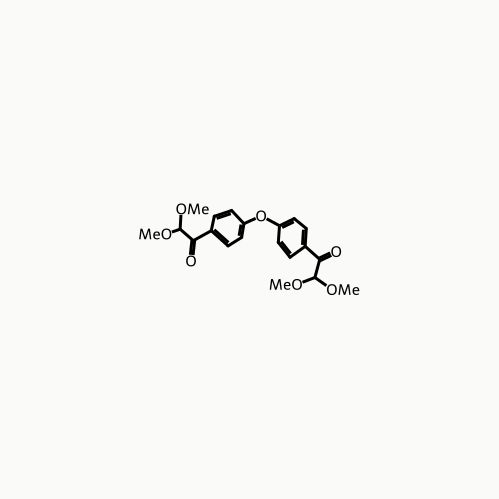 COC(OC)C(=O)c1ccc(Oc2ccc(C(=O)C(OC)OC)cc2)cc1